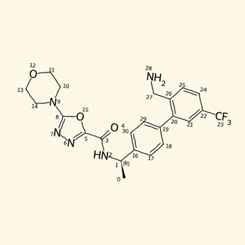 C[C@@H](NC(=O)c1nnc(N2CCOCC2)o1)c1ccc(-c2cc(C(F)(F)F)ccc2CN)cc1